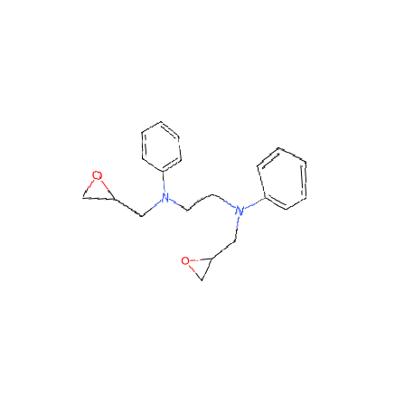 c1ccc(N(CCN(CC2CO2)c2ccccc2)CC2CO2)cc1